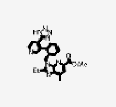 CCc1nc2c(C)cc(C(=O)OC)nc2n1Cc1ccccc1-c1cnccc1-c1nnn[nH]1